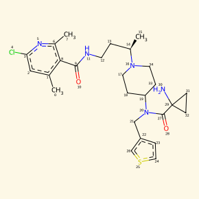 Cc1cc(Cl)nc(C)c1C(=O)NCC[C@@H](C)N1CCC(N(Cc2ccsc2)C(=O)C2(N)CC2)CC1